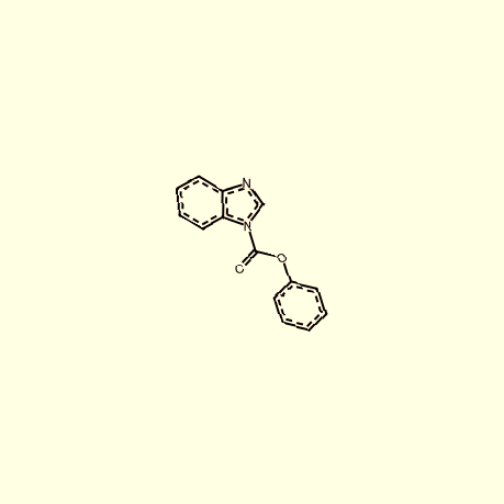 O=C(Oc1ccccc1)n1cnc2ccccc21